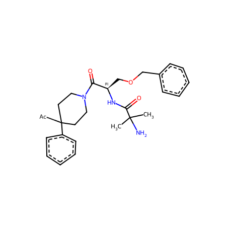 CC(=O)C1(c2ccccc2)CCN(C(=O)[C@@H](COCc2ccccc2)NC(=O)C(C)(C)N)CC1